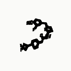 N#Cc1ccc(Cn2ccc(NC(=O)Cc3ccc(C4CC(F)(F)C4)cc3)n2)cc1F